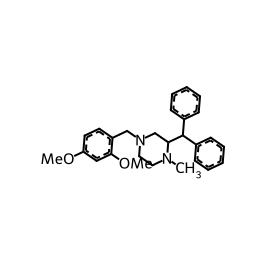 COc1ccc(CN2CCN(C)C(C(c3ccccc3)c3ccccc3)C2)c(OC)c1